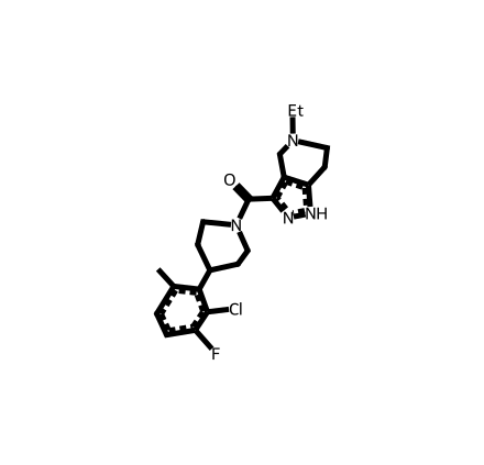 CCN1CCc2[nH]nc(C(=O)N3CCC(c4c(C)ccc(F)c4Cl)CC3)c2C1